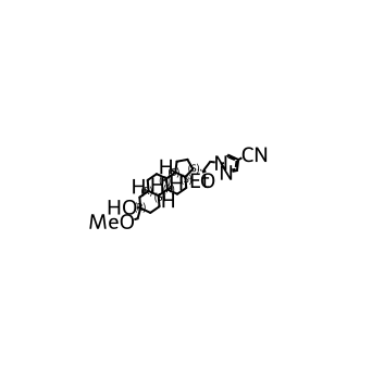 CC[C@]12CC[C@H]3[C@@H](CC[C@@H]4C[C@@](O)(COC)CC[C@@H]43)[C@@H]1CC[C@@H]2C(=O)Cn1cc(C#N)cn1